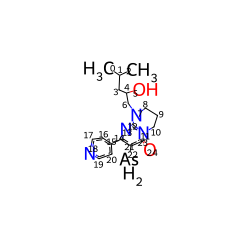 CC(C)CC(O)CN1CCCn2c1nc(-c1ccncc1)c([AsH2])c2=O